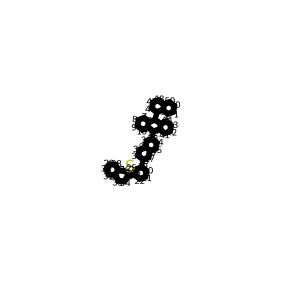 c1ccc2c(-c3c4ccccc4c(-c4ccc5cc(-c6cccc7c6sc6c8ccccc8ccc76)ccc5c4)c4ccccc34)cccc2c1